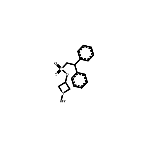 CCCN1CC(OS(=O)(=O)CC(c2ccccc2)c2ccccc2)C1